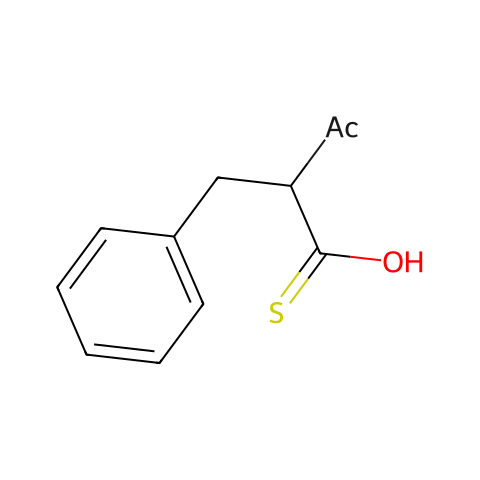 CC(=O)C(Cc1ccccc1)C(O)=S